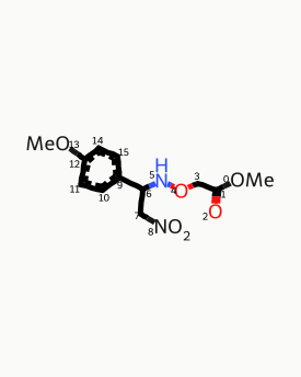 COC(=O)CONC(C[N+](=O)[O-])c1ccc(OC)cc1